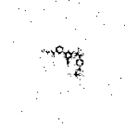 CCOC(=O)[C@@H]1CCCN(c2cc(C#N)cc(OC(C)(C)C(=O)N3CCN(C(=O)OC(C)(C)C)CC3)c2)C1